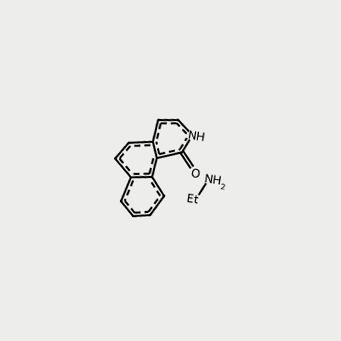 CCN.O=c1[nH]ccc2ccc3ccccc3c12